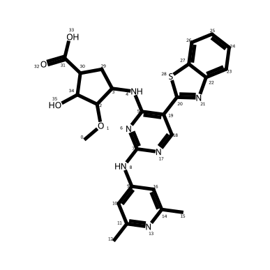 COC1C(Nc2nc(Nc3cc(C)nc(C)c3)ncc2-c2nc3ccccc3s2)CC(C(=O)O)C1O